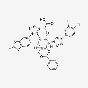 Cc1nc2ccc(-n3ncnc3[C@@H]3O[C@@H]4COC(c5ccccc5)O[C@@H]4[C@H](n4cc(-c5ccc(Cl)c(F)c5)nn4)[C@H]3OCC(=O)O)cc2s1